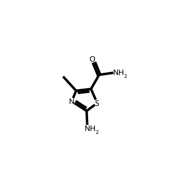 Cc1nc(N)sc1C(N)=O